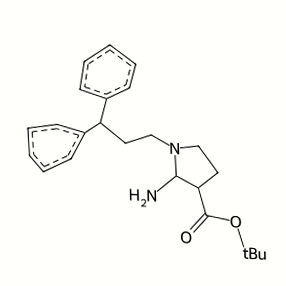 CC(C)(C)OC(=O)C1CCN(CCC(c2ccccc2)c2ccccc2)C1N